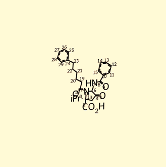 CC(C)[C@@]1(C(=O)O)CC(=O)C(NC(=O)c2ccccc2)N1C(=O)CCCCCc1ccccc1